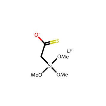 CO[Si](CC([O-])=S)(OC)OC.[Li+]